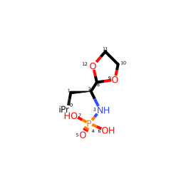 CC(C)C[C@H](NP(=O)(O)O)C1OCCO1